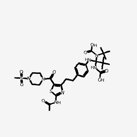 CC(=O)Nc1nc(CCc2ccc(NC(NC(=O)O)(N(C(=O)O)C(C)(C)C)C(C)(C)C)cc2)c(C(=O)N2CCN(S(C)(=O)=O)CC2)s1